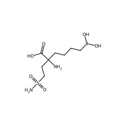 NC(CCCCB(O)O)(CCS(N)(=O)=O)C(=O)O